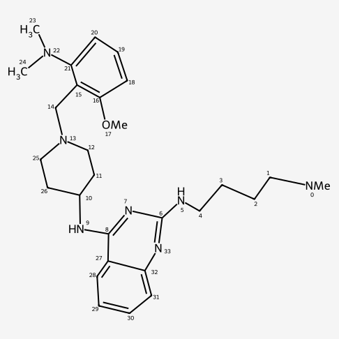 CNCCCCNc1nc(NC2CCN(Cc3c(OC)cccc3N(C)C)CC2)c2ccccc2n1